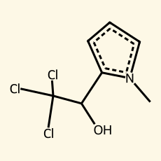 Cn1cccc1C(O)C(Cl)(Cl)Cl